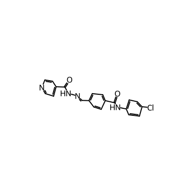 O=C(NN=Cc1ccc(C(=O)Nc2ccc(Cl)cc2)cc1)c1ccncc1